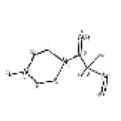 C=NC(C)(C)C(=N)N1CCN(C)CC1